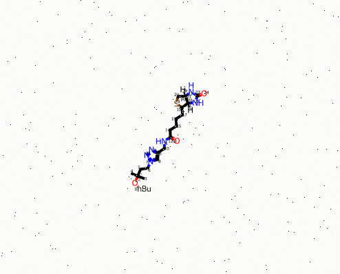 CCCCOC(C)(C)CCn1cc(CNC(=O)CCCCC2SC[C@@H]3NC(=O)N[C@H]23)nn1